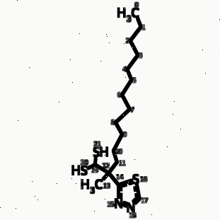 CCCCCCCCCCCCC(C)(c1nncs1)C(S)S